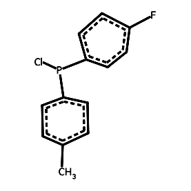 Cc1ccc(P(Cl)c2ccc(F)cc2)cc1